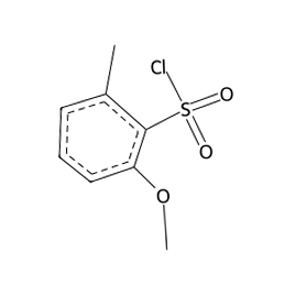 COc1cccc(C)c1S(=O)(=O)Cl